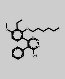 CCCCCCOc1c(-c2nnnc(O)c2-c2ccccc2)ccc(OC)c1CC